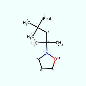 CCCC(C)C(C)(C)CC(C)(C)N1CCCO1